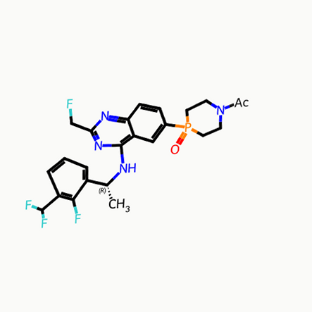 CC(=O)N1CCP(=O)(c2ccc3nc(CF)nc(N[C@H](C)c4cccc(C(F)F)c4F)c3c2)CC1